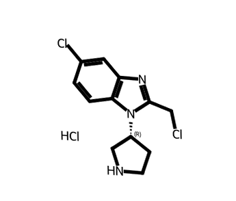 Cl.ClCc1nc2cc(Cl)ccc2n1[C@@H]1CCNC1